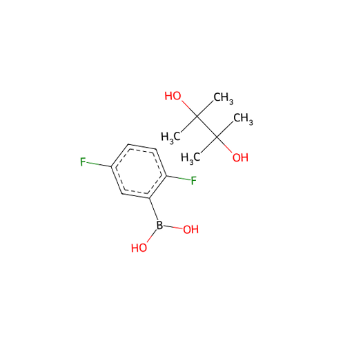 CC(C)(O)C(C)(C)O.OB(O)c1cc(F)ccc1F